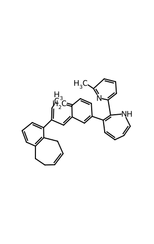 C=c1ccc(C2=C(c3cccc(C)n3)NC=CC=C2)c/c1=C/C(=C\C)c1cccc2c1CC=CCC2